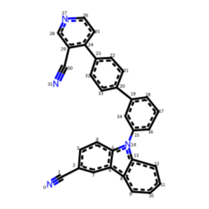 N#Cc1ccc2c(c1)c1ccccc1n2-c1cccc(-c2ccc(-c3ccncc3C#N)cc2)c1